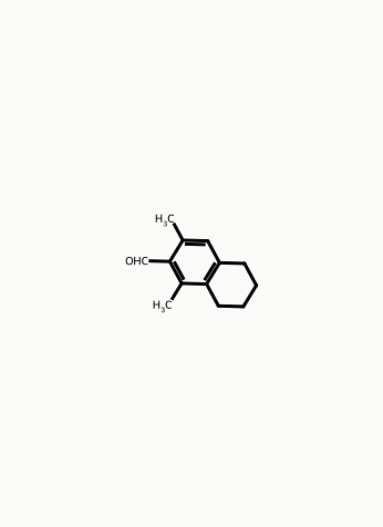 Cc1cc2c(c(C)c1C=O)CCCC2